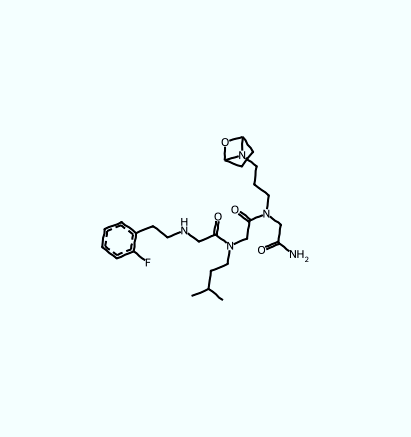 CC(C)CCN(CC(=O)N(CCCN1C2CCC1O2)CC(N)=O)C(=O)CNCCc1ccccc1F